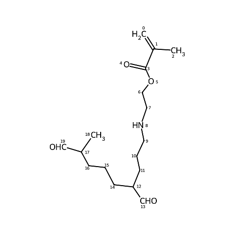 C=C(C)C(=O)OCCNCCCC(C=O)CCCC(C)C=O